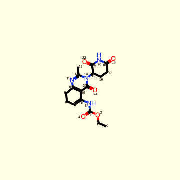 CCOC(=O)NC1=CCCc2nc(C)n(C3CCC(=O)NC3=O)c(=O)c21